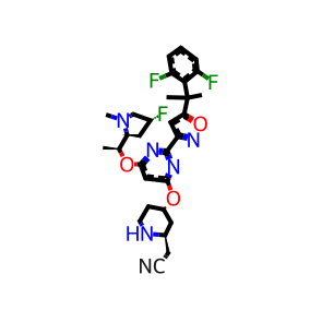 C[C@H](Oc1cc(O[C@H]2CCN[C@H](CC#N)C2)nc(-c2cc(C(C)(C)c3c(F)cccc3F)on2)n1)[C@@H]1C[C@@H](F)CN1C